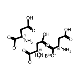 N[C@@H](CC(=O)O)C(=O)[O-].N[C@@H](CC(=O)O)C(=O)[O-].N[C@@H](CC(=O)O)C(=O)[O-].[B+3]